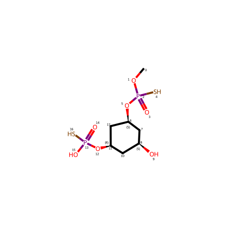 COP(=O)(S)O[C@H]1C[C@@H](O)C[C@@H](OP(=O)(O)S)C1